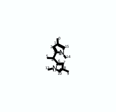 Cc1cc(C(C)c2cc(C)cn2C)n(C)c1